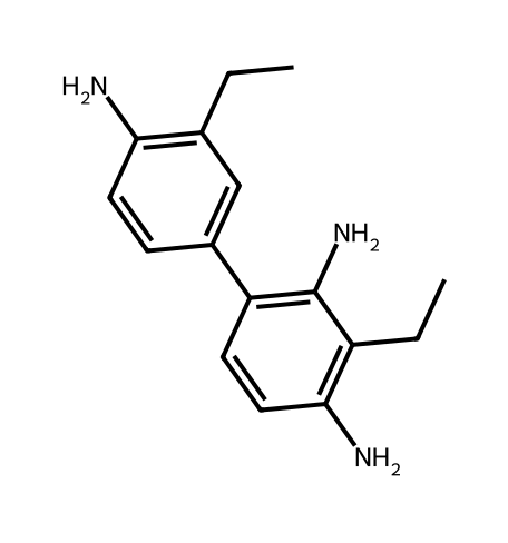 CCc1cc(-c2ccc(N)c(CC)c2N)ccc1N